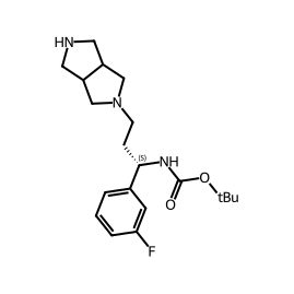 CC(C)(C)OC(=O)N[C@@H](CCN1CC2CNCC2C1)c1cccc(F)c1